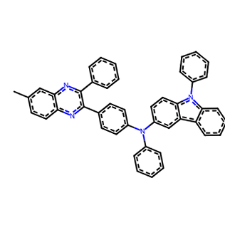 Cc1ccc2nc(-c3ccc(N(c4ccccc4)c4ccc5c(c4)c4ccccc4n5-c4ccccc4)cc3)c(-c3ccccc3)nc2c1